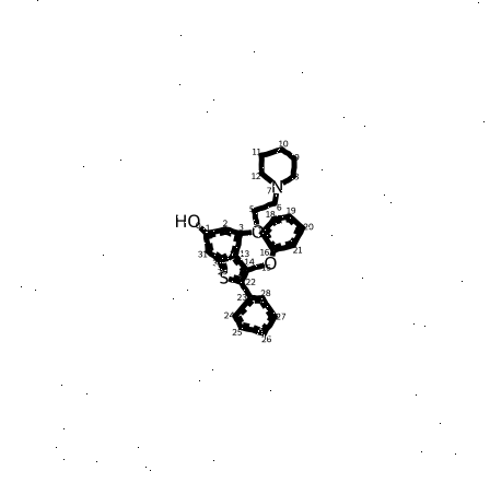 Oc1cc(OCCN2CCCCC2)c2c(Oc3ccccc3)c(-c3ccccc3)sc2c1